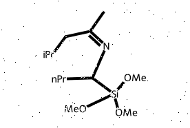 CCCC(/N=C(/C)CC(C)C)[Si](OC)(OC)OC